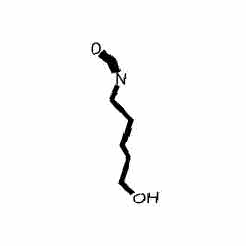 O=C=NCCCCCO